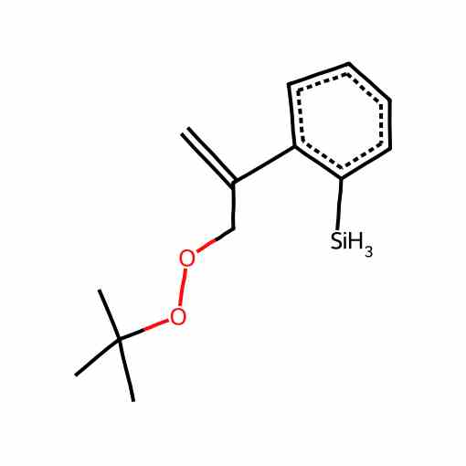 C=C(COOC(C)(C)C)c1ccccc1[SiH3]